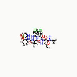 CCCC[C@H](NC(=O)[C@@H]1[C@@H]2[C@H](CN1C(=O)[C@@H](NC(=O)NC1([C@H]3CCCS3(=O)=O)CCCCC1)C(C)(C)C)C2(Cl)Cl)C(=O)C(=O)NC1CC1